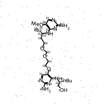 CCCC[C@@H](CO)Nc1nc(N)ncc1OCCOCOCC[C@H](Nc1nc(N)ncc1OC)C(C)CC